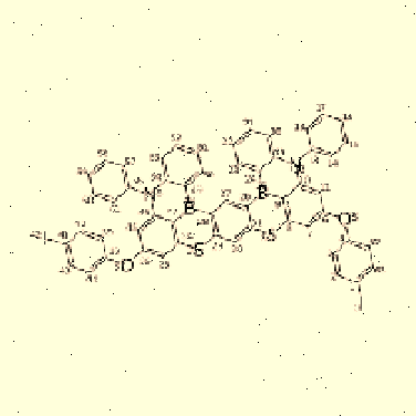 Ic1ccc(Oc2cc3c4c(c2)N(c2ccccc2)c2ccccc2B4c2cc4c(cc2S3)Sc2cc(Oc3ccc(I)cc3)cc3c2B4c2ccccc2N3c2ccccc2)cc1